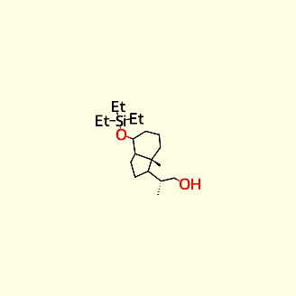 CC[Si](CC)(CC)OC1CCC[C@@]2(C)C1CCC2[C@@H](C)CO